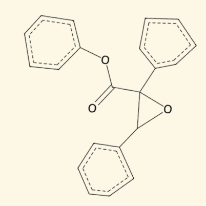 O=C(Oc1ccccc1)C1(c2ccccc2)OC1c1ccccc1